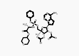 CCC(=O)O[C@H]1[C@H](c2ccc3c(N)ncnn23)O[C@](C)(COP(=O)(N[C@@H](C)C(=O)OC2CCOCC2)Oc2ccccc2)[C@H]1OC(=O)CC